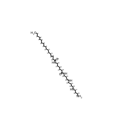 CCCCCCCCCCCCCCCCCC(=O)NCCCCCC(=O)NCCCNCCCCNCCCN